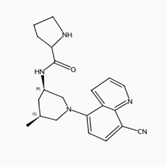 C[C@H]1C[C@@H](NC(=O)C2CCCN2)CN(c2ccc(C#N)c3ncccc23)C1